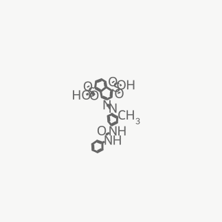 Cc1cc(NC(=O)Nc2ccccc2)ccc1/N=N/c1cc(S(=O)(=O)O)c2cccc(S(=O)(=O)O)c2c1